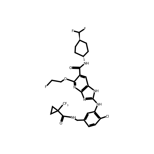 O=C(N[C@H]1CC[C@H](C(F)F)CC1)c1cc2[nH]c(Nc3cc(CNC(=O)C4(C(F)(F)F)CC4)ccc3Cl)nc2nc1OCCF